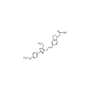 CCc1oc(-c2ccc(OC)cc2)nc1CCOc1ccc2c(c1)CCC2CC(=O)O